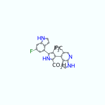 CC(C)c1c(-c2cc(F)cc3[nH]ccc23)[nH]c(C(=O)O)c1-c1c(C(F)(F)F)cnc2[nH]ccc12